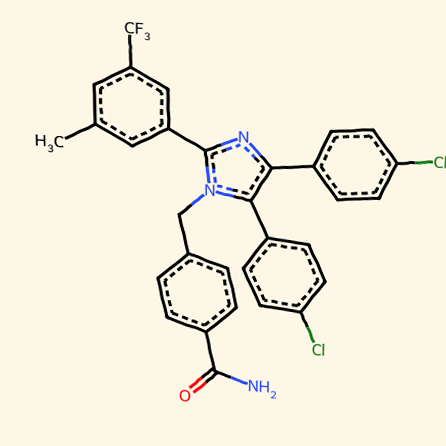 Cc1cc(-c2nc(-c3ccc(Cl)cc3)c(-c3ccc(Cl)cc3)n2Cc2ccc(C(N)=O)cc2)cc(C(F)(F)F)c1